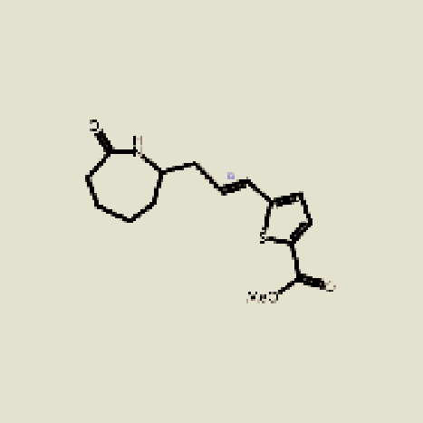 COC(=O)c1ccc(/C=C/CC2CCCCC(=O)N2)s1